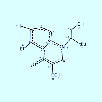 CCc1c(I)ccc2c1c(=O)c(C(=O)O)cn2C(CO)C(C)(C)C